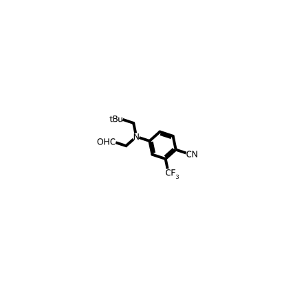 CC(C)(C)CN(CC=O)c1ccc(C#N)c(C(F)(F)F)c1